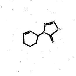 O=c1[nH]nnn1C1C=CCCC1